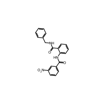 O=C(Nc1ccccc1C(=O)NCc1ccccc1)c1cccc([N+](=O)[O-])c1